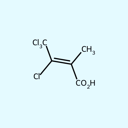 CC(C(=O)O)=C(Cl)C(Cl)(Cl)Cl